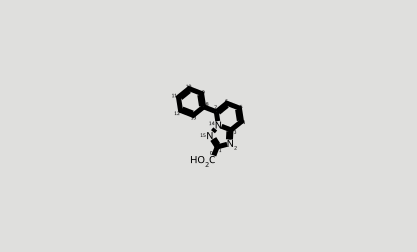 O=C(O)c1nc2cccc(-c3ccccc3)n2n1